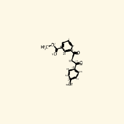 COC(=O)c1cccc(C(=O)CC(=O)c2ccc(Br)cc2)c1